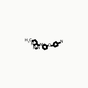 Cc1ccc2c(Nc3cccc(OCc4ccc(C#N)cc4)c3)ncnc2n1